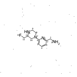 NCc1cccc(N2CCNC(CF)C2)n1